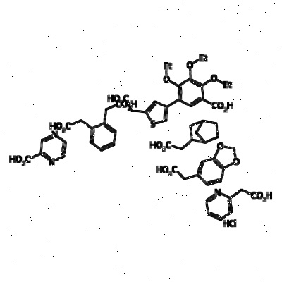 CCOc1c(C(=O)O)cc(-c2csc(CC(=O)O)c2)c(OCC)c1OCC.Cl.O=C(O)CC1CC2CCC1C2.O=C(O)Cc1ccc2c(c1)OCO2.O=C(O)Cc1ccccc1CC(=O)O.O=C(O)Cc1ccccn1.O=C(O)c1cnccn1